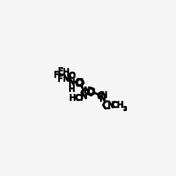 CN1CCCC(n2cc(-c3ccn4c(-c5cccc(NC(=O)NCC(F)(F)F)c5)cnc4c3)cn2)C1.Cl